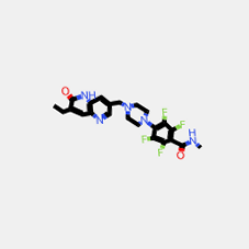 CCc1cc2ncc(CN3CCN(c4c(F)c(F)c(C(=O)NC)c(F)c4F)CC3)cc2[nH]c1=O